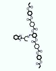 C=CC(=O)Oc1ccc(OC(=O)C2CCC(C(=O)Oc3ccc(OC(=O)C4CCC(C(=O)Oc5ccc(OC(=O)C=C)cc5)CC4)c(/C=N/CC(CC)c4nc5ccccc5s4)c3)CC2)cc1